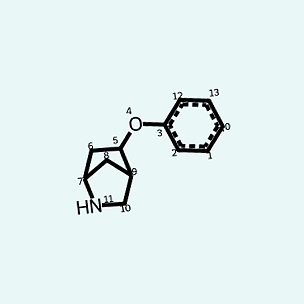 [c]1ccc(OC2CC3CC2CN3)cc1